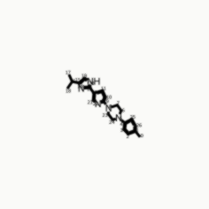 Cc1ccc(N2CCN(c3ccc(-c4nc(C(C)C)c[nH]4)cn3)CC2)cc1